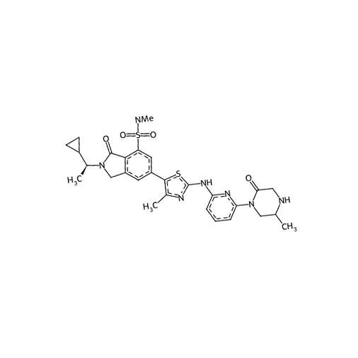 CNS(=O)(=O)c1cc(-c2sc(Nc3cccc(N4CC(C)NCC4=O)n3)nc2C)cc2c1C(=O)N([C@@H](C)C1CC1)C2